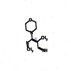 C=N/C(=C(/C)C=N)N1CCOCC1